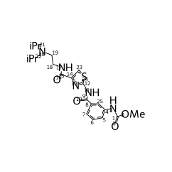 COC(=O)Nc1cccc(C(=O)Nc2nc(C(=O)NCCN(C(C)C)C(C)C)cs2)c1